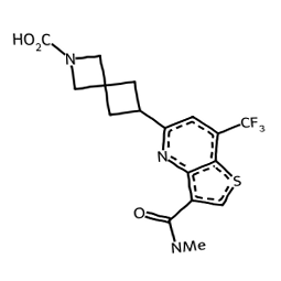 CNC(=O)c1csc2c(C(F)(F)F)cc(C3CC4(C3)CN(C(=O)O)C4)nc12